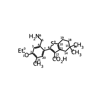 CCOc1cc(CN)c(-c2sc3c(c2C(=O)O)CC(C)(C)CC3)cc1C